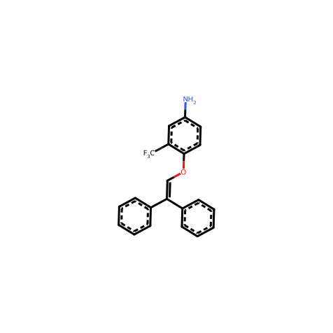 Nc1ccc(OC=C(c2ccccc2)c2ccccc2)c(C(F)(F)F)c1